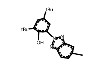 Cc1ccc2nn(-c3cc(C(C)(C)C)cc(C(C)(C)C)c3O)nc2c1